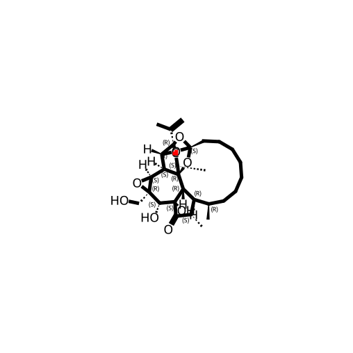 C=C(C)[C@]12C[C@H](C)[C@@]34O[C@@]5(CCCCCCC[C@@H](C)[C@H]6[C@H](C)C(=O)[C@@](O)([C@H](O)[C@@]7(CO)O[C@H]7[C@H]3[C@H]1O5)[C@@H]64)O2